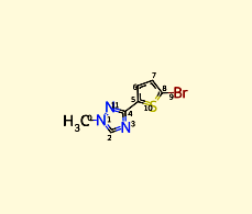 Cn1cnc(-c2ccc(Br)s2)n1